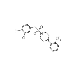 O=S(=O)(Cc1ccc(Cl)c(Cl)c1)N1CCN(c2ccccc2C(F)(F)F)CC1